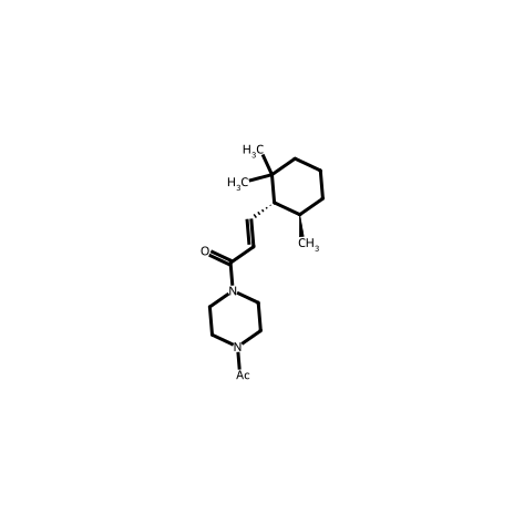 CC(=O)N1CCN(C(=O)/C=C/[C@H]2[C@H](C)CCCC2(C)C)CC1